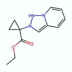 CCOC(=O)C1(N2C=C3C=CC=CN3N2)CC1